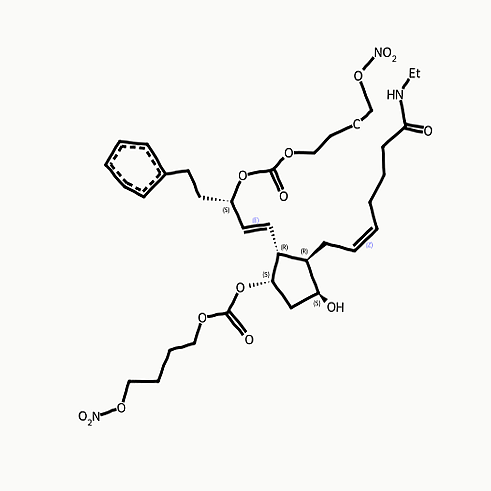 CCNC(=O)CCC/C=C\C[C@@H]1[C@@H](/C=C/[C@H](CCc2ccccc2)OC(=O)OCCCCO[N+](=O)[O-])[C@@H](OC(=O)OCCCCO[N+](=O)[O-])C[C@@H]1O